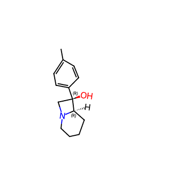 Cc1ccc([C@@]2(O)CN3CCCC[C@@H]32)cc1